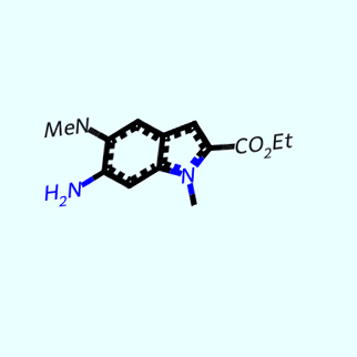 CCOC(=O)c1cc2cc(NC)c(N)cc2n1C